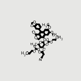 C=CCOC(=O)O[C@H]1[C@H](OC(=O)CC#N)[C@@H](OC(=O)OCC=C)C(Oc2c3c(c(-c4ccc5c(c4)OCO5)c4cc(OC)c(OC)cc24)C(=O)OC3)O[C@@H]1C